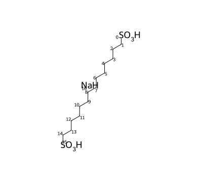 O=S(=O)(O)CCCCCCCCCCCCCCS(=O)(=O)O.[NaH]